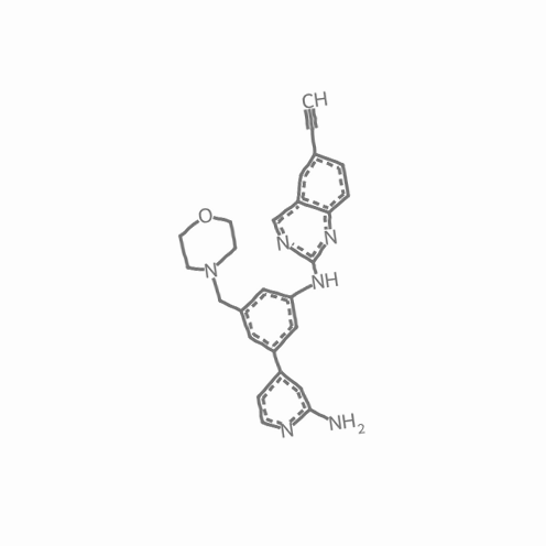 C#Cc1ccc2nc(Nc3cc(CN4CCOCC4)cc(-c4ccnc(N)c4)c3)ncc2c1